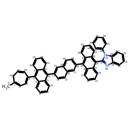 CC1=CC=C(c2c3ccccc3c(-c3ccc4cc(-c5c6ccccc6c(-c6nc7ccccc7n6-c6ccccc6)c6ccccc56)ccc4c3)c3ccccc23)C=CC1